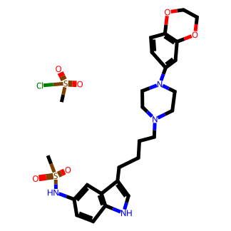 CS(=O)(=O)Cl.CS(=O)(=O)Nc1ccc2[nH]cc(CCCCN3CCN(c4ccc5c(c4)OCCO5)CC3)c2c1